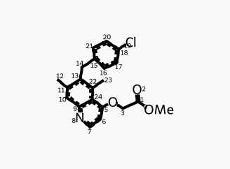 COC(=O)COc1ccnc2cc(C)c(Cc3ccc(Cl)cc3)c(C)c12